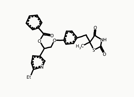 CCc1ccc(C(COc2ccc(CC3(C)SC(=O)NC3=O)cc2)OC(=O)c2ccccc2)cn1